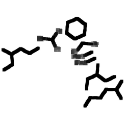 C1CCCCC1.CC(C)CC(C)C.CCC(C)CC.CCC(CC)CC.CCCC(C)C.CCCC(C)C.CCCC(C)CC.CCCCC(C)C